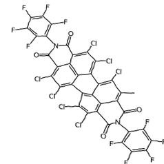 Cc1c2c3c(c(Cl)c(Cl)c4c5c(Cl)c(Cl)c6c7c(c(Cl)c(Cl)c(c(c1Cl)c34)c75)C(=O)N(c1c(F)c(F)c(F)c(F)c1F)C6=O)C(=O)N(c1c(F)c(F)c(F)c(F)c1F)C2=O